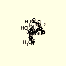 Cc1ncsc1-c1ccc(CNC(=O)[C@@H]2C[C@@H](O)CN2C(=O)[C@@H](NC(=O)Cc2cc(-c3ccccc3)ccc2CO[C@H](C)[C@@H](N)CCC(N)=O)C(C)(C)C)cc1.Cl